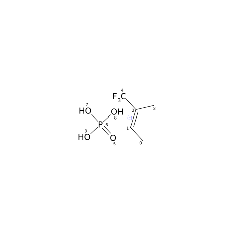 C/C=C(\C)C(F)(F)F.O=P(O)(O)O